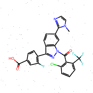 Cn1ccnc1-c1ccc2c(-c3ccc(C(=O)O)cc3F)nn(C(=O)c3c(Cl)cccc3C(F)(F)F)c2c1